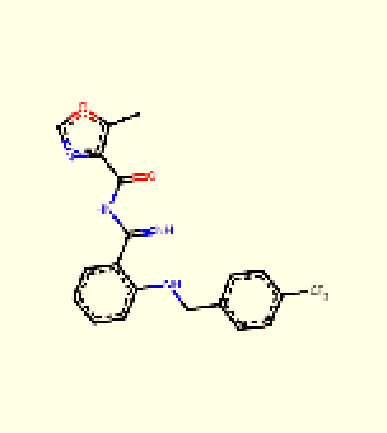 Cc1ocnc1C(=O)NC(=N)c1ccccc1NCc1ccc(C(F)(F)F)cc1